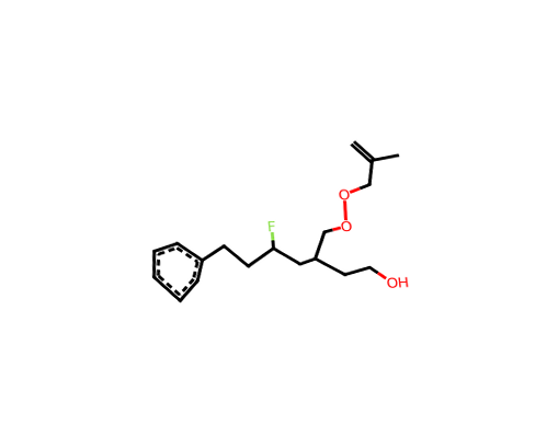 C=C(C)COOCC(CCO)CC(F)CCc1ccccc1